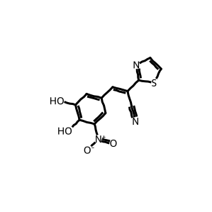 N#C/C(=C\c1cc(O)c(O)c([N+](=O)[O-])c1)c1nccs1